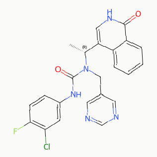 C[C@H](c1c[nH]c(=O)c2ccccc12)N(Cc1cncnc1)C(=O)Nc1ccc(F)c(Cl)c1